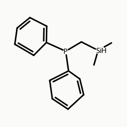 C[SiH](C)CP(c1ccccc1)c1ccccc1